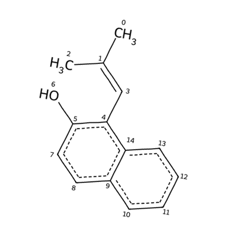 CC(C)=Cc1c(O)ccc2ccccc12